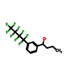 CCCC([O])c1cccc(C(F)(F)C(F)(F)C(F)(F)C(F)(F)F)c1